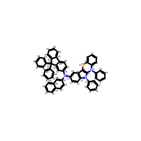 c1ccc(N2c3ccccc3Sc3c2n(-c2ccccc2)c2ccc(N(c4ccc5c(c4)C(c4ccccc4)(c4ccccc4)c4ccccc4-5)c4ccc5ccccc5c4)cc32)cc1